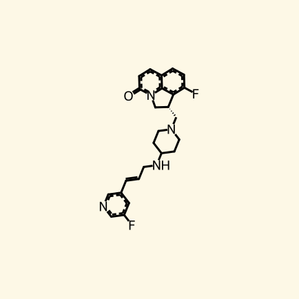 O=c1ccc2ccc(F)c3c2n1C[C@H]3CN1CCC(NCC=Cc2cncc(F)c2)CC1